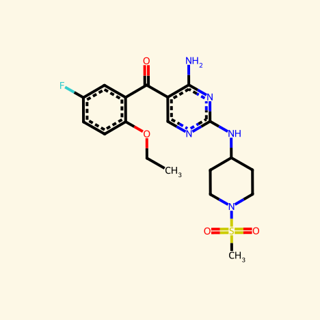 CCOc1ccc(F)cc1C(=O)c1cnc(NC2CCN(S(C)(=O)=O)CC2)nc1N